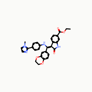 CCOC(=O)c1ccc2c(c1)NC(=O)C2=C(Nc1ccc(-c2nccn2C)cc1)c1ccc2c(c1)OCCO2